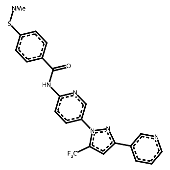 CNSc1ccc(C(=O)Nc2ccc(-n3nc(-c4cccnc4)cc3C(F)(F)F)cn2)cc1